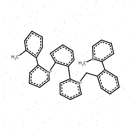 Cc1ccccc1-c1cccc[n+]1-c1ccccc1-c1cccc[n+]1Cc1ccccc1-c1cccc[n+]1C